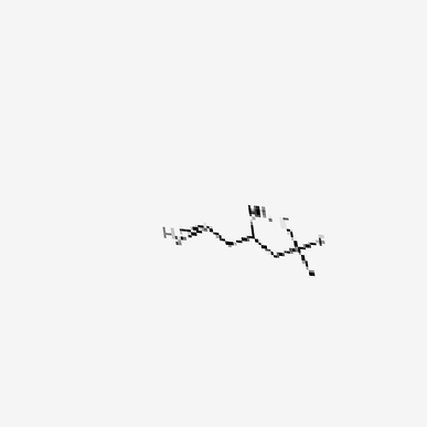 C=CCC(N)CC(F)(F)F